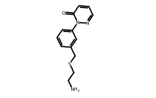 NCCSCc1cccc(-n2ncccc2=O)c1